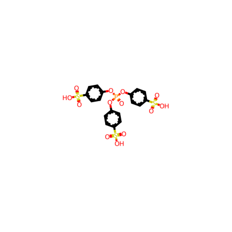 O=P(Oc1ccc(S(=O)(=O)O)cc1)(Oc1ccc(S(=O)(=O)O)cc1)Oc1ccc(S(=O)(=O)O)cc1